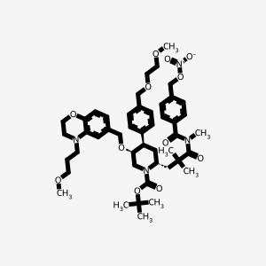 COCCCN1CCOc2ccc(CO[C@H]3CN(C(=O)OC(C)(C)C)[C@@H](CC(C)(C)C(=O)N(C)C(=O)c4ccc(CO[N+](=O)[O-])cc4)C[C@@H]3c3ccc(COCCOC)cc3)cc21